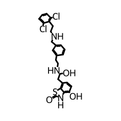 O=c1[nH]c2c(O)ccc(CC(O)NCCc3cccc(CNCCc4c(Cl)cccc4Cl)c3)c2s1